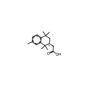 Cc1ccc2c(c1)C(C)(C)[C@H](CC(=O)O)CC2(C)C